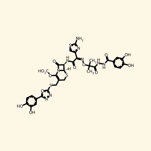 CC(C)(O/N=C(\C(=O)N[C@@H]1C(=O)N2C(OC(=O)O)=C(CSc3nnc(-c4ccc(O)c(O)c4)o3)CS[C@H]12)c1csc(N)n1)C(=O)NNC(=O)c1ccc(O)c(O)c1